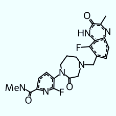 CNC(=O)c1ccc(N2CCCN(Cc3ccc4nc(C)c(=O)[nH]c4c3F)CC2=O)c(F)n1